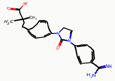 CC(C)(Cc1ccc(N2CCN(c3ccc(C(=N)N)cc3)C2=O)cc1)C(=O)O